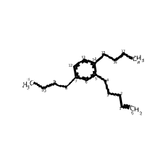 C=CCCCc1cc(CCCC)ccc1CCCC